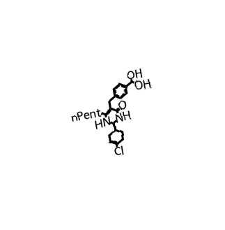 CCCCCC1=C(Cc2ccc(C(O)O)cc2)C(=O)NC(C2CC=C(Cl)CC2)N1